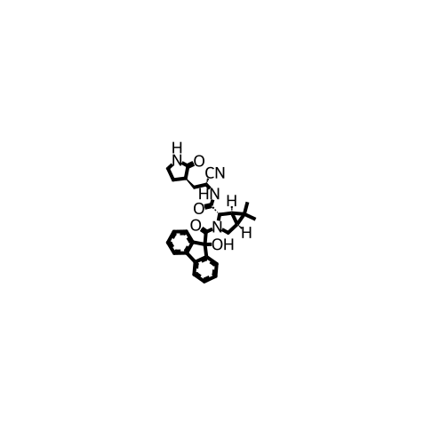 CC1(C)[C@@H]2[C@@H](C(=O)N[C@@H](C#N)C[C@H]3CCNC3=O)N(C(=O)C3(O)c4ccccc4-c4ccccc43)C[C@@H]21